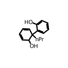 CCCC1(c2ccccc2O)C=CC=CC1O